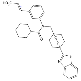 O=C(O)/C=C/c1cccc(N(CC23CCC(c4nc5ccccc5s4)(CC2)CC3)C(=O)C2CCCCC2)c1